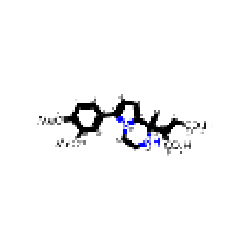 COc1ccc(-c2ccc3n2CCNC3(C)C(=CC(=O)O)C(=O)O)cc1OC